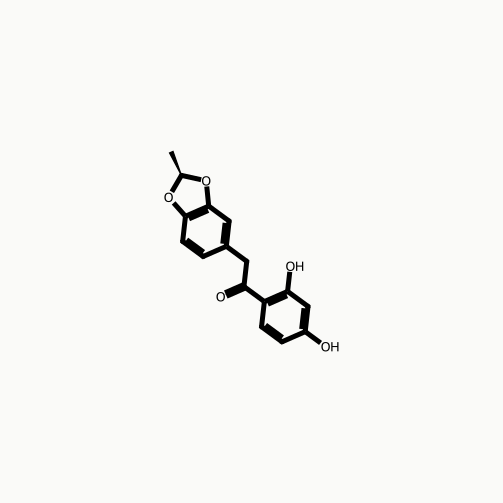 C[C@@H]1Oc2ccc(CC(=O)c3ccc(O)cc3O)cc2O1